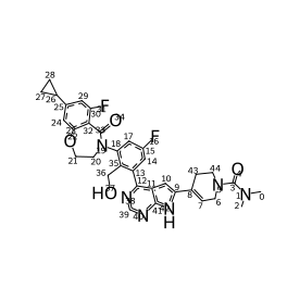 CN(C)C(=O)N1CC=C(c2cc3c(-c4cc(F)cc(N5CCOc6cc(C7CC7)cc(F)c6C5=O)c4CO)ncnc3[nH]2)CC1